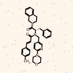 Cc1ccc(C=CC(=O)N(Cc2ccc(N3CCOCC3)nc2)[C@@H](Cc2ccccc2)C(=O)N2CCc3ccccc3C2)cc1